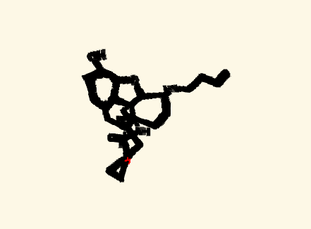 CCCCNC1CC[C@@]2(NC(C)=O)[C@H]3Cc4ccc(O)c5c4[C@@]2(CCN3CC2CC2)C1O5